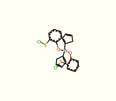 ClSc1ccccc1[O][Zr]([O]c1ccccc1SCl)([C]1=CC=CC1)[C]1=CC=CC1